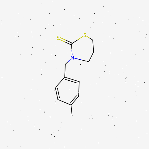 Cc1ccc(CN2CCCSC2=S)cc1